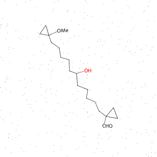 COC1(CCCCCC(O)CCCCCC2(C=O)CC2)CC1